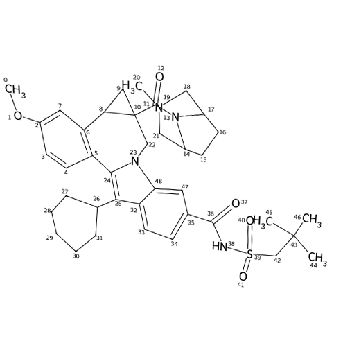 COc1ccc2c(c1)C1CC1(C(=O)N1C3CCC1CN(C)C3)Cn1c-2c(C2CCCCC2)c2ccc(C(=O)NS(=O)(=O)CC(C)(C)C)cc21